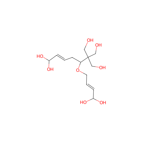 OCC(CO)(CO)C(C/C=C/C(O)O)OC/C=C/C(O)O